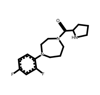 O=C(C1CCCN1)N1CCCN(c2ccc(F)cc2F)CC1